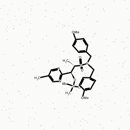 COc1ccc(CN(Cc2ccc(OC)cc2)S(=O)(=O)[C@@H](C)[C@@H](O[Si](C)(C)C(C)(C)C)c2ncc(C)cn2)cc1